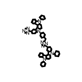 c1ccc(-n2c3ccccc3c3c4c5cc(-c6ncncn6)ccc5n(-c5ccc(Cc6ncnc(-c7ccc8c(c7)c7c9c%10ccccc%10n(-c%10ccccc%10)c9ccc7n8-c7ccccc7)n6)cc5)c4ccc32)cc1